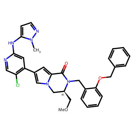 COC[C@H]1Cn2cc(-c3cc(Nc4ccnn4C)ncc3Cl)cc2C(=O)N1Cc1ccccc1OCc1ccccc1